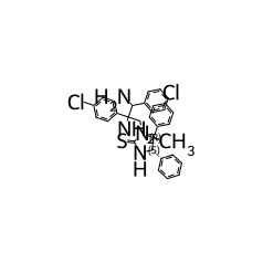 C[C@@]1(c2ccc(Cl)cc2)[C@H](c2ccccc2)NC(=S)N1CC(N)(c1ccc(Cl)cc1)C(N)c1ccccc1